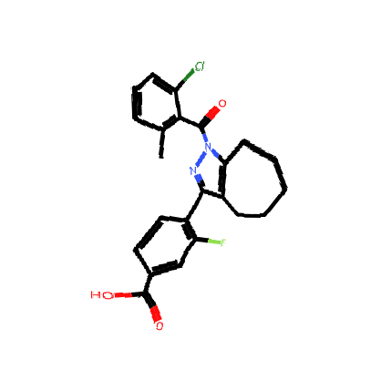 Cc1cccc(Cl)c1C(=O)n1nc(-c2ccc(C(=O)O)cc2F)c2c1CCCCC2